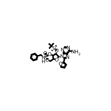 CC(C)(C)[Si](C)(C)O[C@H]1C2O[P@](=O)(NCc3ccccc3)OCC2O[C@H]1n1c(-c2ccco2)nc2c(N)ncnc21